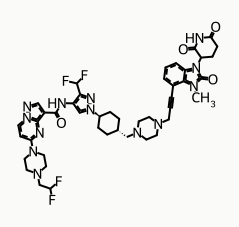 Cn1c(=O)n(C2CCC(=O)NC2=O)c2cccc(C#CCN3CCN(C[C@H]4CC[C@H](n5cc(NC(=O)c6cnn7ccc(N8CCN(CC(F)F)CC8)nc67)c(C(F)F)n5)CC4)CC3)c21